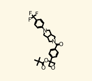 CC(C)(C)C(=O)OC1(c2ccc(C(=O)N3CC4CN(c5ccc(C(F)(F)F)cc5)CC4C3)cc2)COC1